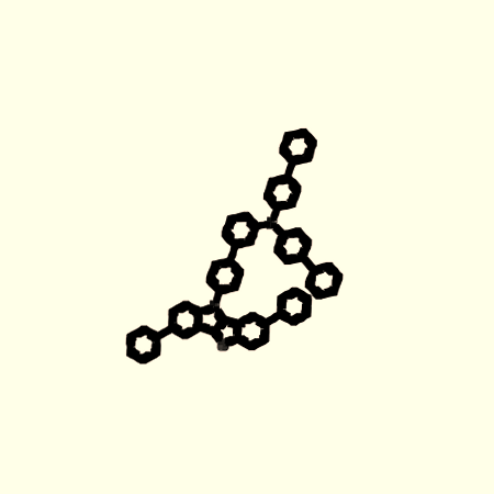 c1ccc(-c2ccc(N(c3ccc(-c4ccccc4)cc3)c3cccc(-c4ccc(-n5c6ccc(-c7ccccc7)cc6c6oc7ccc(-c8ccccc8)cc7c65)cc4)c3)cc2)cc1